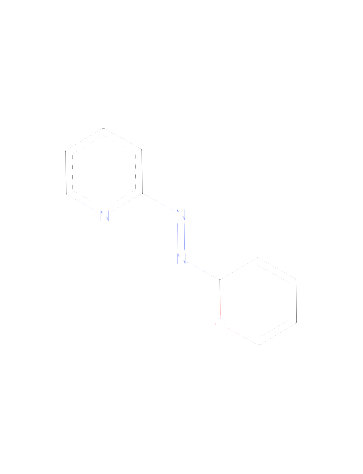 C1=COC(N=Nc2ccccn2)C=C1